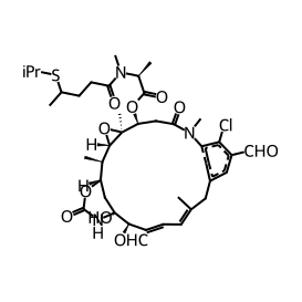 C/C1=C\C=C\[C@@H](C=O)[C@@]2(O)C[C@H](OC(=O)N2)[C@@H](C)[C@@H]2O[C@@]2(C)[C@@H](OC(=O)[C@H](C)N(C)C(=O)CCC(C)SC(C)C)CC(=O)N(C)c2cc(cc(C=O)c2Cl)C1